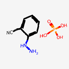 N#Cc1ccccc1NN.O=P(O)(O)O